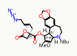 CCCCN1CCc2cc3c(cc2[C@@H]2[C@H](OC(=O)[C@@]4(C/C=C/CN=[N+]=[N-])CC(=O)O4)C(OC)=C[C@@H]21)OCO3